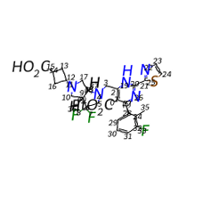 CCOC(=O)C1=C(CN2CC(F)(F)[C@@H]3CN([C@H]4C[C@H](C(=O)O)C4)C[C@@H]32)NC(c2nccs2)=N[C@H]1c1cccc(F)c1C